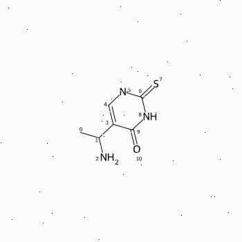 CC(N)C1=C[N]C(=S)NC1=O